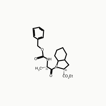 CCOC(=O)[C@H]1CC2CCCCC2N1C(=O)[C@H](C)NC(=O)OCc1ccccc1